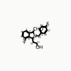 O=CC1c2cccc(F)c2C(CCO)N1Cc1ccc(F)cc1